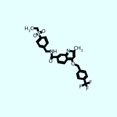 CCS(=O)(=O)c1ccc(CNC(=O)c2ccc3c(OCc4ccc(C(F)(F)F)cc4)cc(C)nc3c2)cc1